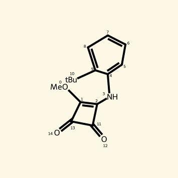 COc1c(Nc2ccccc2C(C)(C)C)c(=O)c1=O